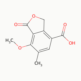 COc1c(C)cc(C(=O)O)c2c1C(=O)OC2